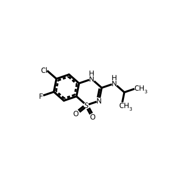 CC(C)NC1=NS(=O)(=O)c2cc(F)c(Cl)cc2N1